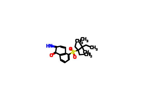 CCC(C)(CC)C(CC)(CC)S(=O)(=O)c1cccc2c1C=CC(=N)C2=O